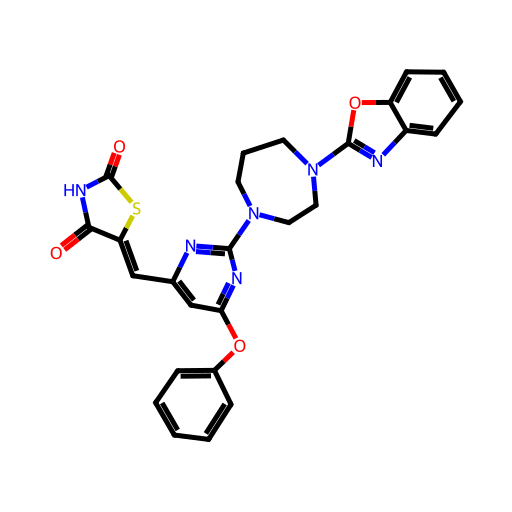 O=C1NC(=O)C(=Cc2cc(Oc3ccccc3)nc(N3CCCN(c4nc5ccccc5o4)CC3)n2)S1